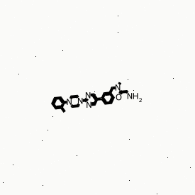 Cc1ccccc1N1CCN(c2ncc(-c3cccc(CN(C)C(=O)CN)c3)cn2)CC1